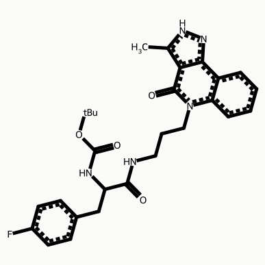 Cc1[nH]nc2c1c(=O)n(CCCNC(=O)C(Cc1ccc(F)cc1)NC(=O)OC(C)(C)C)c1ccccc21